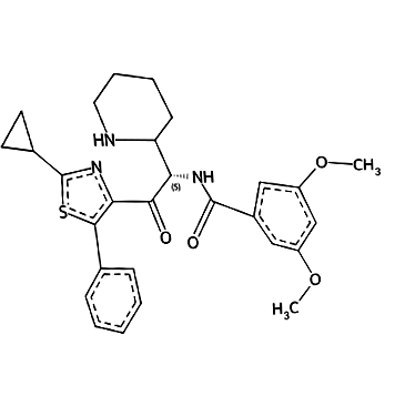 COc1cc(OC)cc(C(=O)N[C@H](C(=O)c2nc(C3CC3)sc2-c2ccccc2)C2CCCCN2)c1